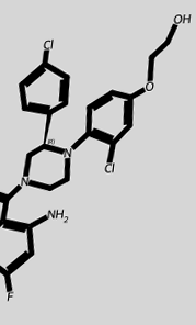 Nc1cc(F)ccc1C(=O)N1CCN(c2ccc(OCCO)cc2Cl)[C@H](c2ccc(Cl)cc2)C1